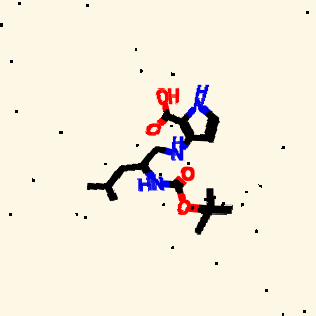 CC(C)CC(CNc1cc[nH]c1C(=O)O)NC(=O)OC(C)(C)C